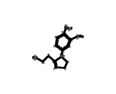 COc1cc([SH]2CCN=C2CCC(F)(F)F)ccc1C(=O)O